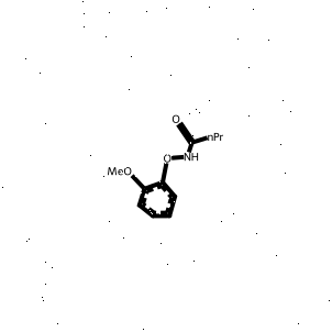 CCCC(=O)NOc1ccccc1OC